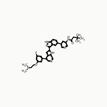 CN(C)CCOc1cc(F)cc(-c2cncc3[nH]c(-c4n[nH]c5ccc(-c6cncc(NC(=O)CC(C)(C)C)c6)cc45)cc23)c1